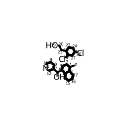 Cc1ccc(C(O)c2cccnc2)c2ccccc12.OCCc1ccc(Cl)cc1Cl